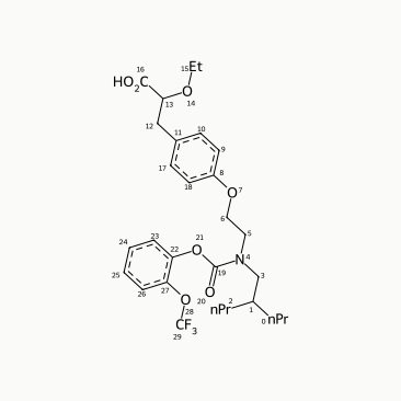 CCCC(CCC)CN(CCOc1ccc(CC(OCC)C(=O)O)cc1)C(=O)Oc1ccccc1OC(F)(F)F